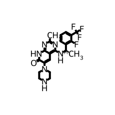 Cc1nc(N[C@H](C)c2cccc(C(F)(F)F)c2F)c2cc(N3CCNCC3)c(=O)[nH]c2n1